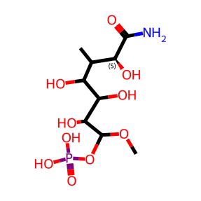 COC(OP(=O)(O)O)C(O)C(O)C(O)C(C)[C@H](O)C(N)=O